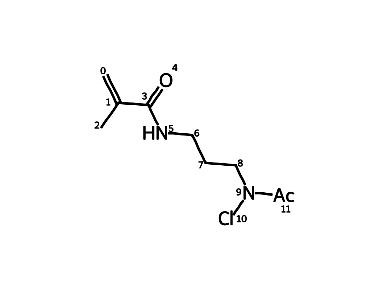 C=C(C)C(=O)NCCCN(Cl)C(C)=O